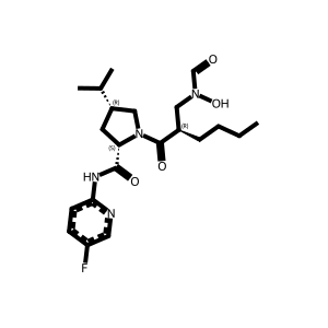 CCCC[C@H](CN(O)C=O)C(=O)N1C[C@@H](C(C)C)C[C@H]1C(=O)Nc1ccc(F)cn1